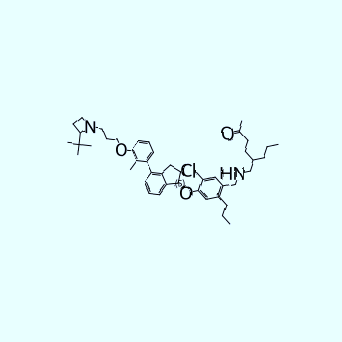 CCCc1cc(O[C@H]2CCc3c(-c4cccc(OCCCN5CCC5C(C)(C)C)c4C)cccc32)c(Cl)cc1CNCC(CCC)CCC(C)=O